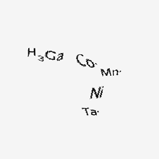 [Co].[GaH3].[Mn].[Ni].[Ta]